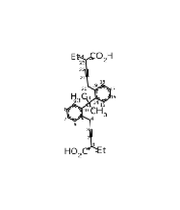 CCC(C#CCc1ccccc1C(C)(C)c1ccccc1CC#CC(CC)C(=O)O)C(=O)O